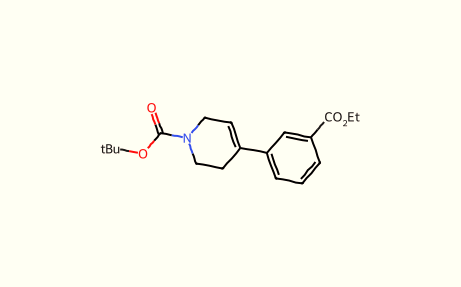 CCOC(=O)c1cccc(C2=CCN(C(=O)OC(C)(C)C)CC2)c1